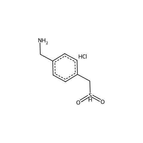 Cl.NCc1ccc(C[SH](=O)=O)cc1